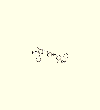 Cc1cc(CN2CCCN(Cc3cc(C)c(O)c(C4CCCCC4)c3)C2)cc(C2CCCCC2)c1O